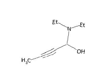 CC#CC(O)N(CC)CC